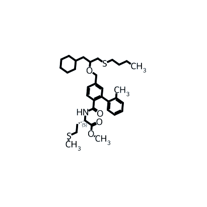 CCCCSCC(CC1CCCCC1)OCc1ccc(C(=O)N[C@@H](CCSC)C(=O)OC)c(-c2ccccc2C)c1